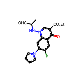 CCOC(=O)c1cn(NC(C)C=O)c2cc(-n3cccc3)c(F)cc2c1=O